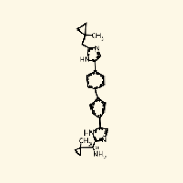 CC1(Cc2ncc(-c3ccc(-c4ccc(-c5cnc([C@@H](N)C6(C)CC6)[nH]5)cc4)cc3)[nH]2)CC1